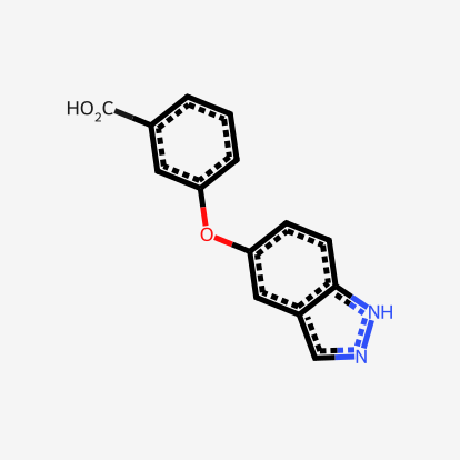 O=C(O)c1cccc(Oc2ccc3[nH]ncc3c2)c1